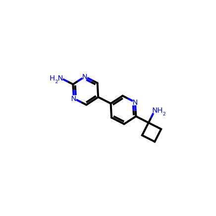 Nc1ncc(-c2ccc(C3(N)CCC3)nc2)cn1